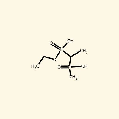 CCOP(=O)(O)C(C)P(C)(=O)O